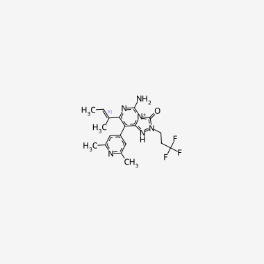 C/C=C(\C)c1nc(N)[n+]2c(=O)n(CCC(F)(F)F)[nH]c2c1-c1cc(C)nc(C)c1